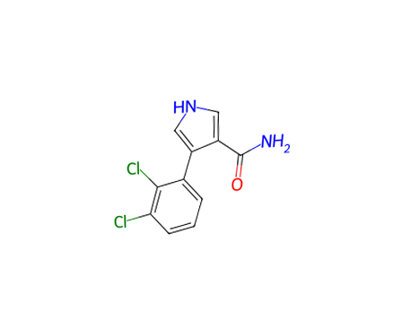 NC(=O)c1c[nH]cc1-c1cccc(Cl)c1Cl